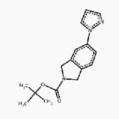 CC(C)(C)OC(=O)N1Cc2ccc(-n3cccn3)cc2C1